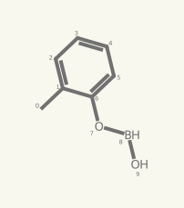 Cc1ccccc1OBO